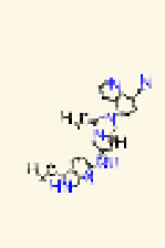 C[C@@H]1NCc2nc(N[C@@H]3C[C@H]4CN(c5ccc(C#N)c6ncccc56)C[C@@H](C)N4C3)ccc21